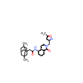 Cc1cc(Cn2ccc3c(NC(=O)CC45CC6CC(C)(CC(C)(C6)C4)C5)cccc3c2=O)no1